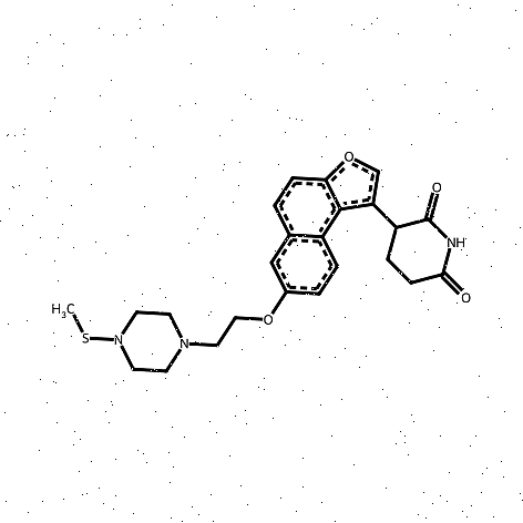 CSN1CCN(CCOc2ccc3c(ccc4occ(C5CCC(=O)NC5=O)c43)c2)CC1